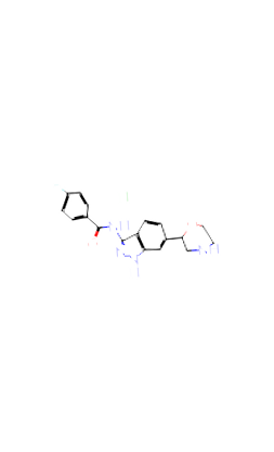 Cl.O=C(Nc1n[nH]c2cc(C3CNCCO3)ccc12)c1ccc(F)cc1